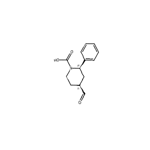 O=C[C@H]1CCN(C(=O)O)[C@@H](c2ccccc2)C1